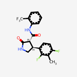 Cc1c(F)ccc([C@H]2CNC(=O)[C@@H]2C(=O)Nc2ccccc2C(F)(F)F)c1F